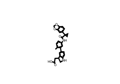 Cc1ccc(NC(=O)C2(c3ccc4c(c3)OCO4)CC2)cc1-c1ccc2c(c1)C(CC(=O)O)CN2